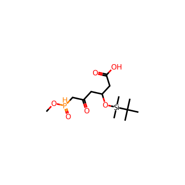 CO[PH](=O)CC(=O)CC(CC(=O)O)O[Si](C)(C)C(C)(C)C